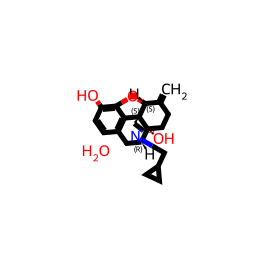 C=C1CC[C@@]2(O)[C@H]3Cc4ccc(O)c5c4[C@@]2(CCN3CC2CC2)[C@H]1O5.O